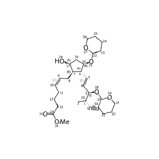 CCCC[C@H](C)[C@@H](/C=C/[C@@H]1[C@@H](C/C=C\CCCC(=O)OC)[C@@H](O)C[C@H]1OC1CCCCO1)OC1CCCCO1